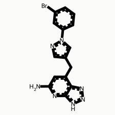 Nc1cc(Cc2cnn(-c3cccc(Br)c3)c2)c2nn[nH]c2n1